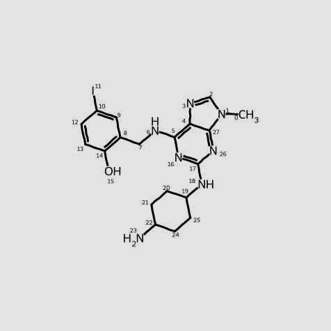 Cn1cnc2c(NCc3cc(I)ccc3O)nc(NC3CCC(N)CC3)nc21